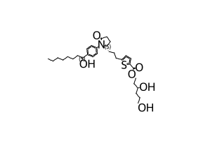 CCCCCCC[C@H](O)c1ccc(N2C(=O)CC[C@@H]2CCCc2ccc(C(=O)OCCC(O)CCCO)s2)cc1